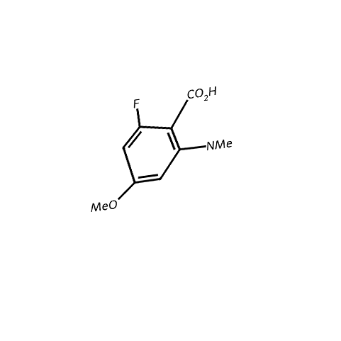 CNc1cc(OC)cc(F)c1C(=O)O